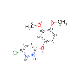 COc1ccc(Oc2ccc(Cl)nn2)cc1OC